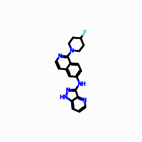 FC1CCN(c2nccc3cc(Nc4n[nH]c5cccnc45)ccc23)CC1